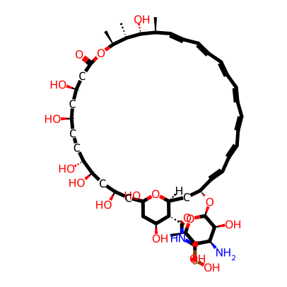 C[C@@H]1[C@H](O)[C@@H](C)/C=C/C=C/C=C/C=C/C=C/C=C/C=C/[C@H](O[C@@H]2O[C@H](C)[C@@H](O)[C@H](N)[C@@H]2O)C[C@@H]2O[C@](O)(C[C@@H](O)C[C@@H](O)[C@H](O)CC[C@@H](O)C[C@@H](O)CC(=O)O[C@H]1C)C[C@H](O)[C@H]2C(=O)NCSO